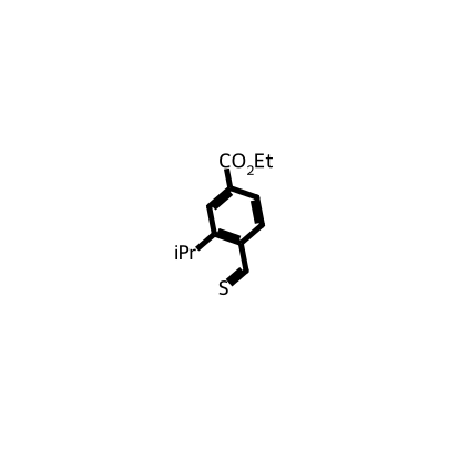 CCOC(=O)c1ccc(C=S)c(C(C)C)c1